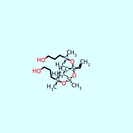 C=C[Si](C)(O[Si](C)(C)CCCO)O[Si](C)(C)O[Si](C)(C)CCCO